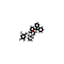 Fc1cc(F)c(COCC2CC(SC(c3ccccc3)(c3ccccc3)c3ccccc3)CN2c2ncccn2)cc1F